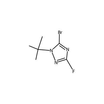 CC(C)(C)n1nc(F)nc1Br